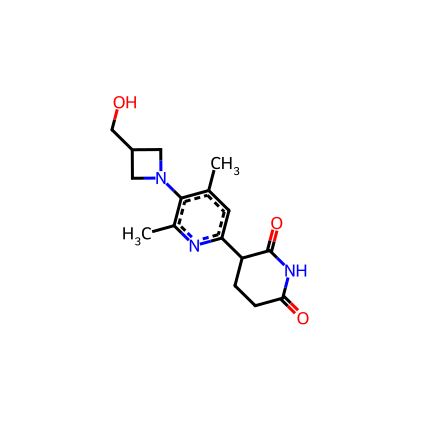 Cc1cc(C2CCC(=O)NC2=O)nc(C)c1N1CC(CO)C1